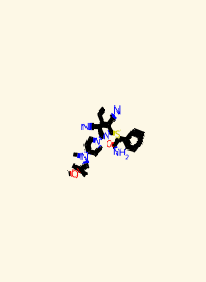 CCc1c(C#N)c(SC(C(N)=O)c2ccccc2)nc(N2CCC(N(C)CC(C)(C)OC)CC2)c1C#N